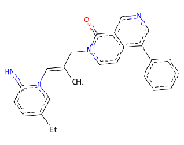 CCc1ccc(=N)n(/C=C(\C)Cn2ccc3c(-c4ccccc4)cncc3c2=O)c1